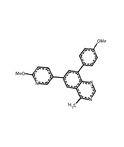 COc1ccc(-c2cc(-c3ccc(OC)nc3)cc3c(C)ncnc23)cc1